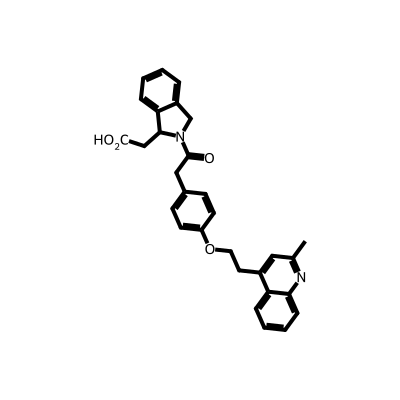 Cc1cc(CCOc2ccc(CC(=O)N3Cc4ccccc4C3CC(=O)O)cc2)c2ccccc2n1